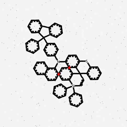 c1ccc(C2(c3ccc(N(c4ccc5c(c4)C4(c6ccccc6S5)c5ccccc5[Si](c5ccccc5)(c5ccccc5)c5ccccc54)c4cccc5ccccc45)cc3)c3ccccc3-c3ccccc32)cc1